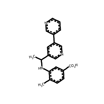 Cc1ccc(C(=O)O)cc1NC(C)c1cncc(-c2cccnc2)c1